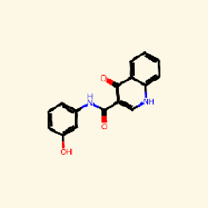 O=C(Nc1cccc(O)c1)c1c[nH]c2ccccc2c1=O